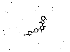 Cc1cc(F)c(N2CCN(c3ccc(C(C)C)cn3)CC2)cc1-c1nc2ccccn2c1C